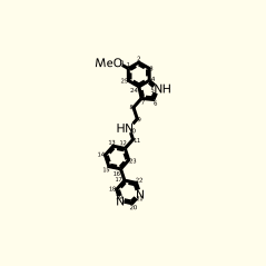 COc1ccc2[nH]cc(CCNCc3cccc(-c4cncnc4)c3)c2c1